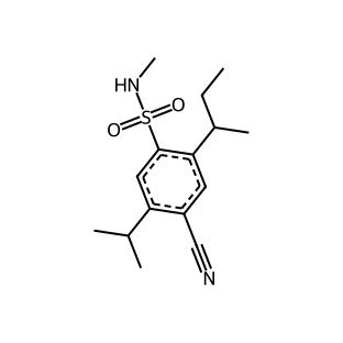 CCC(C)c1cc(C#N)c(C(C)C)cc1S(=O)(=O)NC